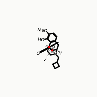 COc1ccc2c(c1O)[C@]13CCN(CC4CCC4)[C@H](C2)[C@@H]1C[C@H](C)C(=O)C3